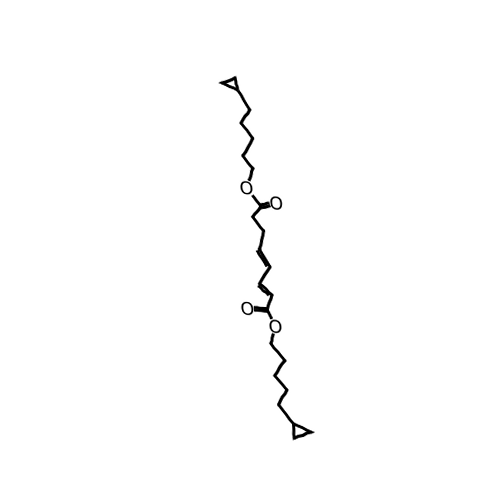 O=C(/C=C/C=C/CCC(=O)OCCCCCC1CC1)OCCCCCC1CC1